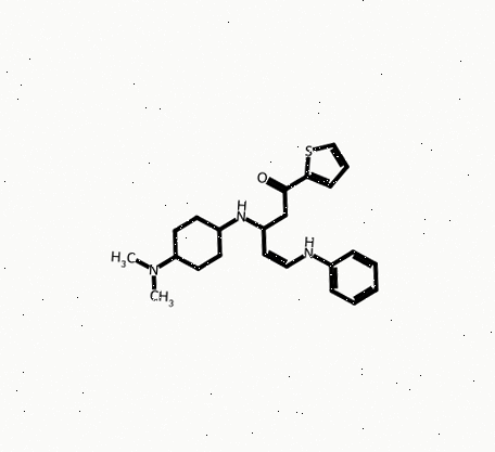 CN(C)C1CCC(NC(/C=C\Nc2ccccc2)CC(=O)c2cccs2)CC1